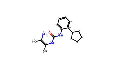 N#CC(N)=C(C#N)NC(=O)Nc1ccccc1C1CCCC1